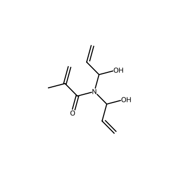 C=CC(O)N(C(=O)C(=C)C)C(O)C=C